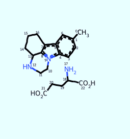 Cc1ccc2c(c1)c1c3n2CCNC3CCC1.NC(CCC(=O)O)C(=O)O